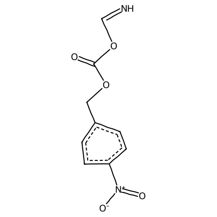 N=COC(=O)OCc1ccc([N+](=O)[O-])cc1